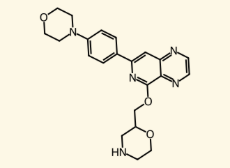 c1cnc2c(OCC3CNCCO3)nc(-c3ccc(N4CCOCC4)cc3)cc2n1